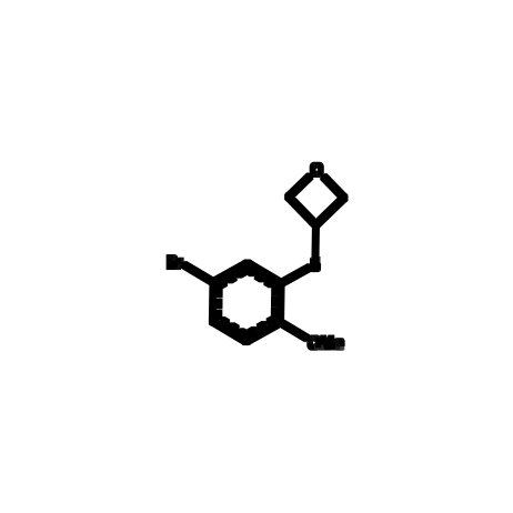 COc1ccc(Br)cc1SC1COC1